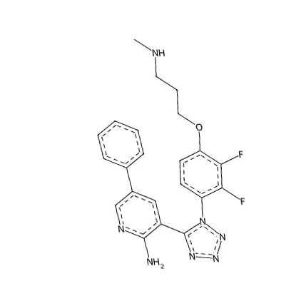 CNCCCOc1ccc(-n2nnnc2-c2cc(-c3ccccc3)cnc2N)c(F)c1F